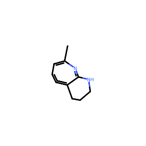 CC1=CC=C=C2CCCNC2=N1